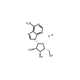 Nc1ncnc2c1ncn2[C@@H]1O[C@H](CO)[C@@H](O)[C@H]1O.[K].[K]